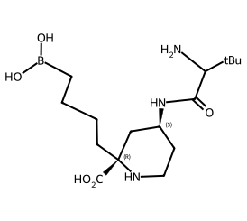 CC(C)(C)C(N)C(=O)N[C@H]1CCN[C@@](CCCCB(O)O)(C(=O)O)C1